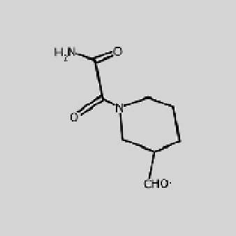 NC(=O)C(=O)N1CCCC([C]=O)C1